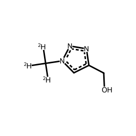 [2H]C([2H])([2H])n1cc(CO)nn1